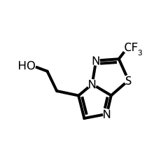 OCCc1cnc2sc(C(F)(F)F)nn12